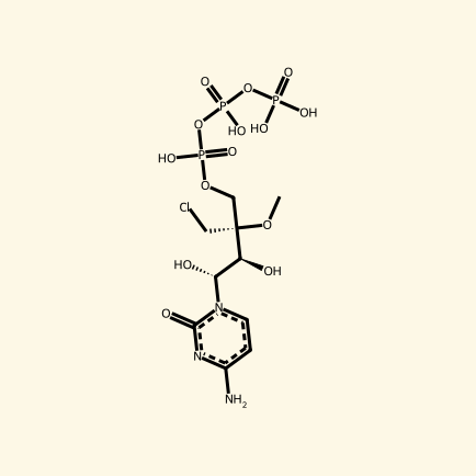 CO[C@](CCl)(COP(=O)(O)OP(=O)(O)OP(=O)(O)O)[C@@H](O)[C@@H](O)n1ccc(N)nc1=O